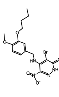 CCCCOc1cc(CNc2c([N+](=O)[O-])n[nH]c(=O)c2Br)ccc1OC